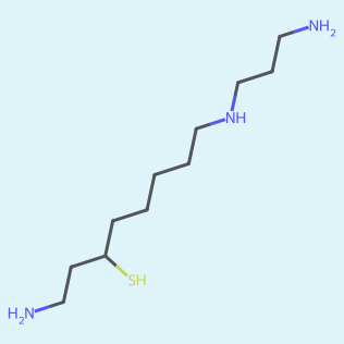 NCCCNCCCCCC(S)CCN